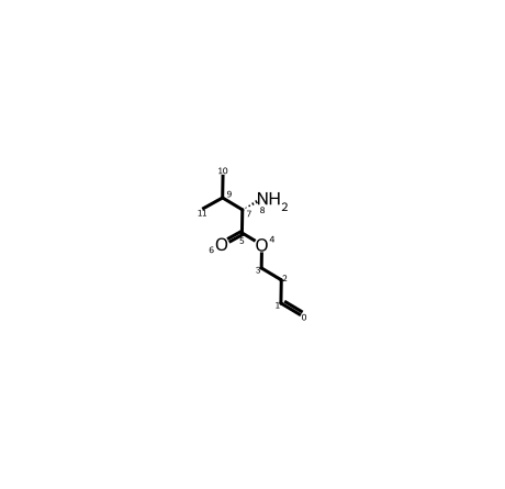 C=CCCOC(=O)[C@@H](N)C(C)C